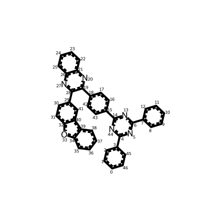 c1ccc(-c2nc(-c3ccccc3)nc(-c3ccc(-c4nc5ccccc5nc4-c4ccc5oc6ccccc6c5c4)cc3)n2)cc1